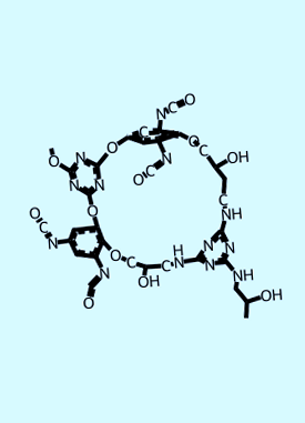 COc1nc2nc(n1)Oc1cc(N=C=O)cc(N=C=O)c1OCC(O)CNc1nc(nc(NCC(C)O)n1)NCCC(O)COc1c(N=C=O)cc(cc1N=C=O)O2